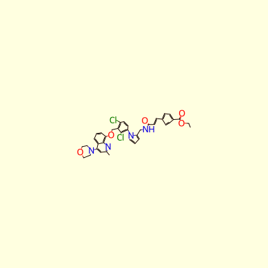 CCOC(=O)c1ccc(C=CC(=O)NCc2cccn2-c2ccc(Cl)c(COc3cccc4c(N5CCOCC5)cc(C)nc34)c2Cl)cc1